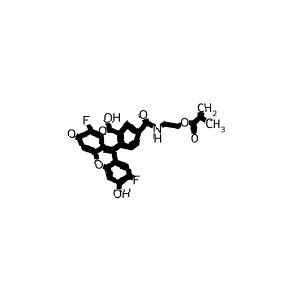 C=C(C)C(=O)OCCNC(=O)c1ccc(-c2c3cc(F)c(=O)cc-3oc3cc(O)c(F)cc23)c(C(=O)O)c1